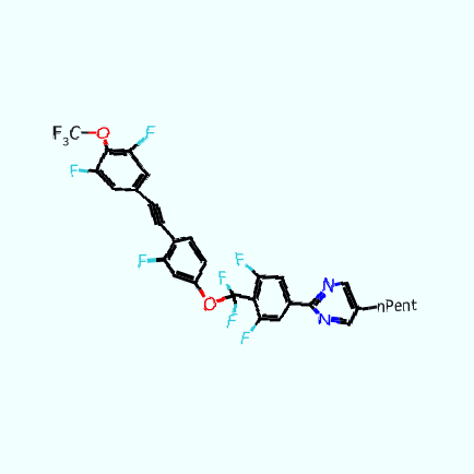 CCCCCc1cnc(-c2cc(F)c(C(F)(F)Oc3ccc(C#Cc4cc(F)c(OC(F)(F)F)c(F)c4)c(F)c3)c(F)c2)nc1